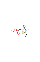 CCOC(=O)CC1SC(CC)N(C)C1=O